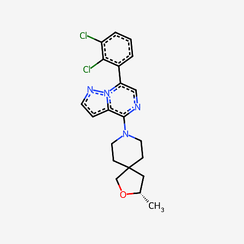 C[C@H]1CC2(CCN(c3ncc(-c4cccc(Cl)c4Cl)n4nccc34)CC2)CO1